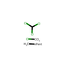 CCCCCC.ClC(Cl)(Cl)Cl.ClC(Cl)Cl